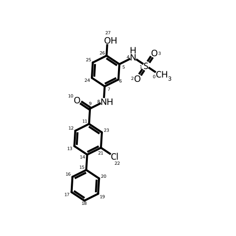 CS(=O)(=O)Nc1cc(NC(=O)c2ccc(-c3ccccc3)c(Cl)c2)ccc1O